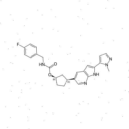 Cn1nccc1-c1cc2cc([C@H]3CC[C@@H](OC(=O)NCc4ccc(F)cc4)C3)cnc2[nH]1